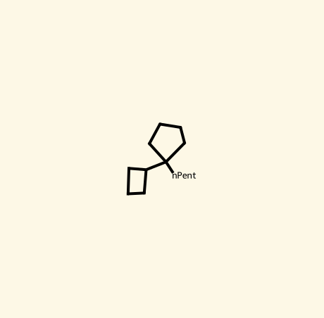 [CH2]CCCCC1(C2CCC2)CCCC1